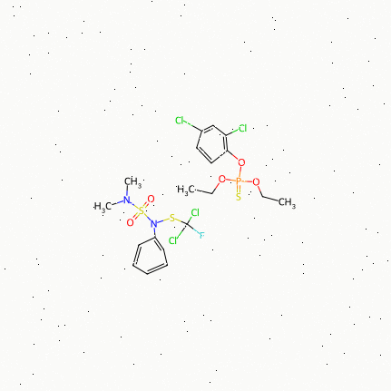 CCOP(=S)(OCC)Oc1ccc(Cl)cc1Cl.CN(C)S(=O)(=O)N(SC(F)(Cl)Cl)c1ccccc1